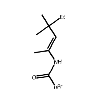 CCCC(=O)N/C(C)=C/C(C)(C)CC